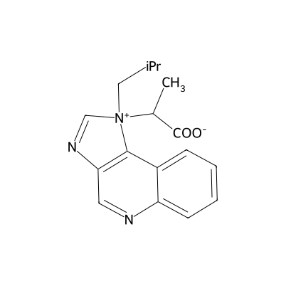 CC(C)C[N+]1(C(C)C(=O)[O-])C=Nc2cnc3ccccc3c21